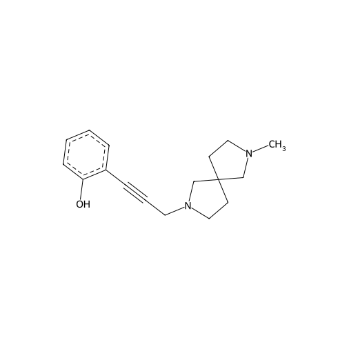 CN1CCC2(CCN(CC#Cc3ccccc3O)C2)C1